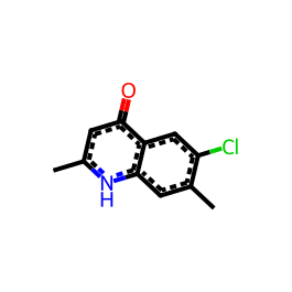 Cc1cc(=O)c2cc(Cl)c(C)cc2[nH]1